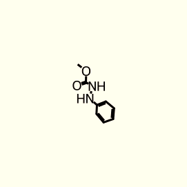 COC(=O)NNc1ccccc1